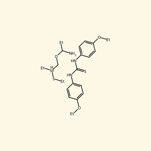 CCOc1ccc(NC(=S)Nc2ccc(OCC)cc2)cc1.CC[S][SnH]([CH2]C)[CH2]OC(N)CC